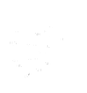 CC(C)(C)NC(=O)[C@@H](NC(=O)N[C@H](C(=O)N1C[C@H]2[C@@H]([C@H]1C(=O)NC(CC1CCC1)C(=O)C(N)=O)C2(Cl)Cl)C1Cc2ccccc2C1)C(C)(C)C